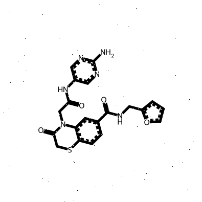 Nc1ncc(NC(=O)CN2C(=O)CSc3ccc(C(=O)NCc4ccco4)cc32)cn1